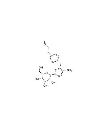 COCCc1ccc(Cc2cc([C@@H]3O[C@H](CO)[C@@H](O)[C@H](O)[C@H]3O)ccc2N)cc1